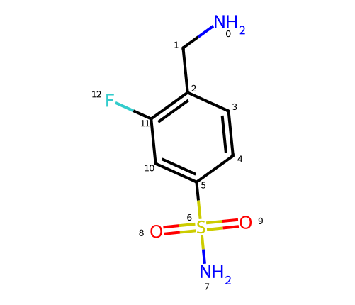 NCc1ccc(S(N)(=O)=O)cc1F